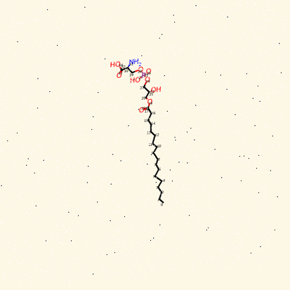 CCCCCCCCCCCCCCCCCC(=O)OC[C@@H](O)COP(=O)(O)OC[C@H](N)C(=O)O